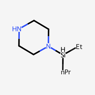 CCC[SiH](CC)N1CCNCC1